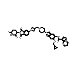 O=C1CCC(N2C(=O)c3ccc(N4CC(CN5CCC(n6cc7cc(NC(=O)c8cnn9cccnc89)c(OCC8CC8)cc7n6)CC5)C4)cc3C2=O)C(=O)N1